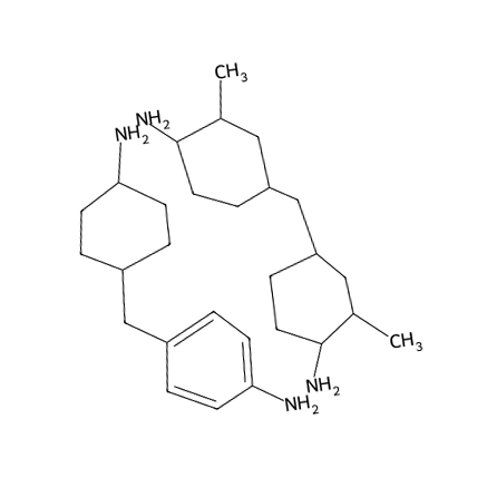 CC1CC(CC2CCC(N)C(C)C2)CCC1N.Nc1ccc(CC2CCC(N)CC2)cc1